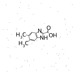 Cc1cc2nc(C(=O)O)[nH]c2cc1C